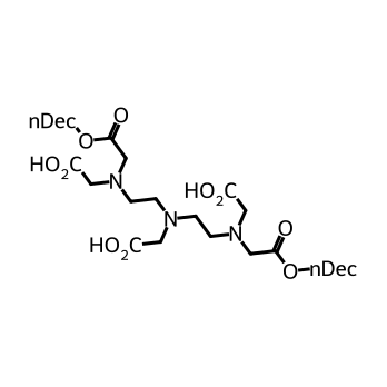 CCCCCCCCCCOC(=O)CN(CCN(CCN(CC(=O)O)CC(=O)OCCCCCCCCCC)CC(=O)O)CC(=O)O